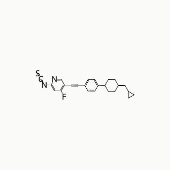 Fc1cc(N=C=S)ncc1C#Cc1ccc(C2CCC(CC3CC3)CC2)cc1